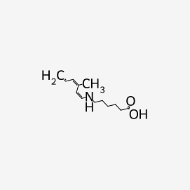 C=C/C=C(C)\C=C/NCCCCCC(=O)O